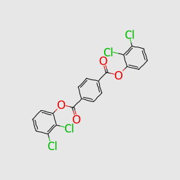 O=C(Oc1cccc(Cl)c1Cl)c1ccc(C(=O)Oc2cccc(Cl)c2Cl)cc1